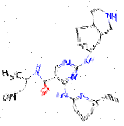 CC(CN=O)NC(=O)c1cnc(Nc2ccc3c(c2)CNCC3)nc1Nc1cccc(C(C)(C)C)n1